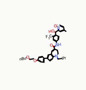 CCCCOCCOc1ccc(-c2ccc3c(c2)C=C(C(=O)Nc2ccc(C(O)c4cc(C)cc[n+]4[O-])c(C(F)(F)F)c2)CCN3CC(C)C)cc1